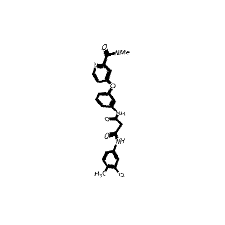 CNC(=O)c1cc(Oc2cccc(NC(=O)CC(=O)Nc3ccc(C)c(Cl)c3)c2)ccn1